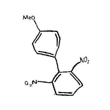 COc1ccc(-c2c([N+](=O)[O-])[c]ccc2[N+](=O)[O-])cc1